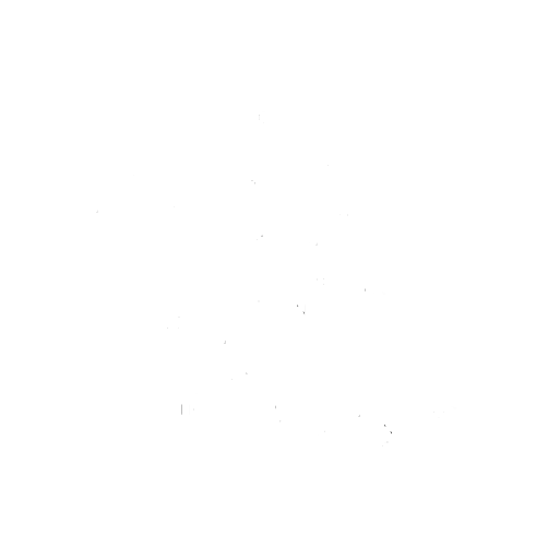 CC1CCC(C(=O)N(c2cc(C3=CCCC3)sc2C(=O)O)C2CCC(N=O)C2)CC1